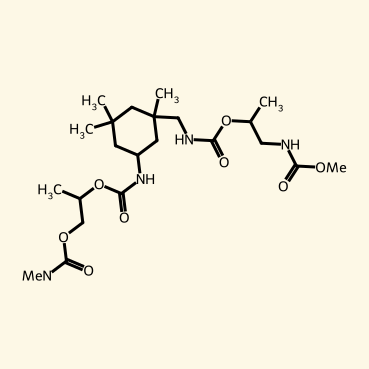 CNC(=O)OCC(C)OC(=O)NC1CC(C)(C)CC(C)(CNC(=O)OC(C)CNC(=O)OC)C1